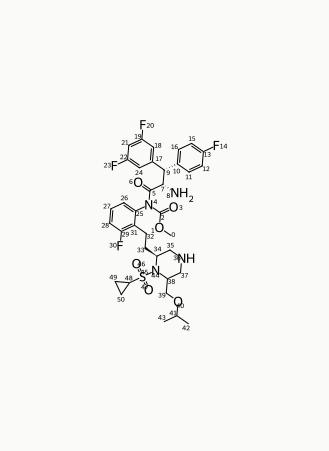 COC(=O)N(C(=O)[C@@H](N)[C@@H](c1ccc(F)cc1)c1cc(F)cc(F)c1)c1cccc(F)c1CC[C@H]1CNCC(COC(C)C)N1S(=O)(=O)C1CC1